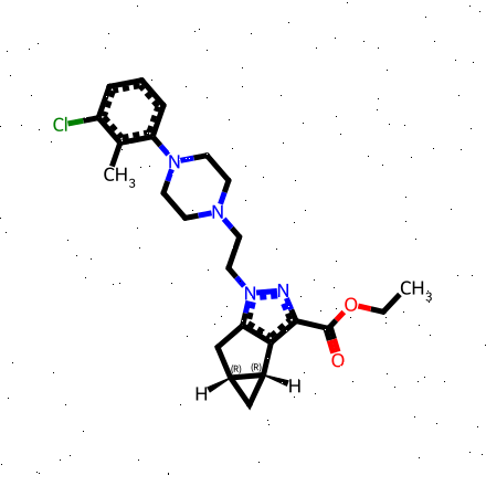 CCOC(=O)c1nn(CCN2CCN(c3cccc(Cl)c3C)CC2)c2c1[C@@H]1C[C@@H]1C2